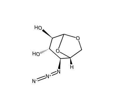 [N-]=[N+]=N[C@H]1[C@H](O)[C@@H](O)C2OC[C@H]1O2